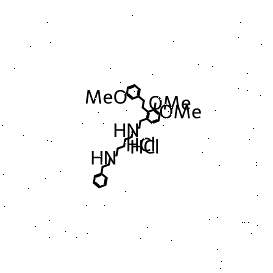 COc1cccc(CCc2c(CCNCCCCCNCCc3ccccc3)ccc(OC)c2OC)c1.Cl.Cl